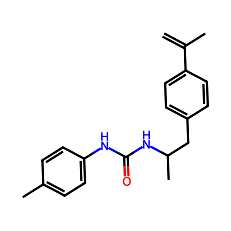 C=C(C)c1ccc(CC(C)NC(=O)Nc2ccc(C)cc2)cc1